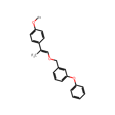 CCOc1ccc(/C(=C/OCc2cccc(Oc3ccccc3)c2)C(F)(F)F)cc1